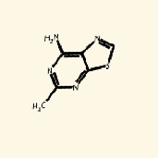 Cc1nc(N)c2ncsc2n1